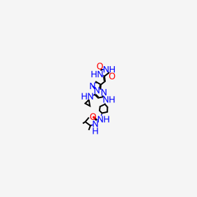 CC(C)C(C)NC(=O)N[C@H]1CC[C@H](Nc2cc(NC3CC3)n3ncc(/C=C4\NC(=O)NC4=O)c3n2)CC1